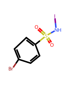 O=S(=O)(NI)c1ccc(Br)cc1